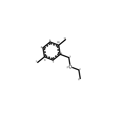 CCOCc1cc(C)ccc1C